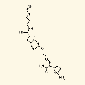 N=CNCCCNC(=N)N1Cc2ccc(OCCO/N=C(\C(N)=O)c3csc(N)n3)cc2C1